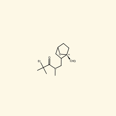 CCC(C)(C)C(=O)N(C)CC1CC2CC[C@@]1(C=O)O2